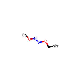 CCCCON=NOCC